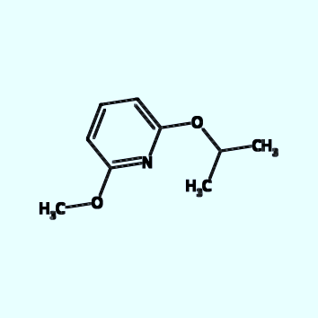 COc1cccc(OC(C)C)n1